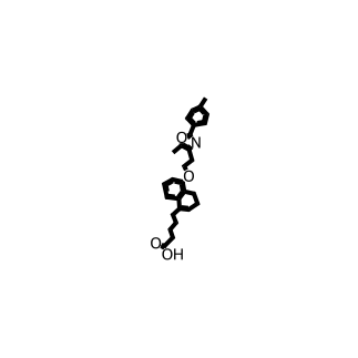 Cc1ccc(-c2nc(CCOc3cccc4c3CCC=C4CCCCC(=O)O)c(C)o2)cc1